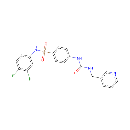 O=C(NCc1cccnc1)Nc1ccc(S(=O)(=O)Nc2ccc(F)c(F)c2)cc1